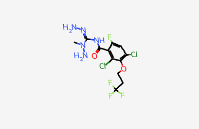 CN(N)/C(=N\N)NC(=O)c1c(F)cc(Cl)c(OCCC(F)(F)F)c1Cl